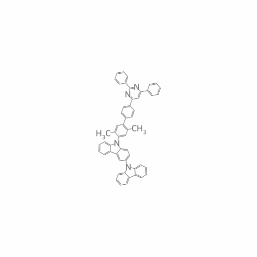 Cc1cc(-n2c3ccccc3c3cc(-n4c5ccccc5c5ccccc54)ccc32)c(C)cc1-c1ccc(-c2cc(-c3ccccc3)nc(-c3ccccc3)n2)cc1